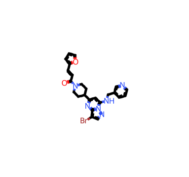 O=C(/C=C/c1ccco1)N1CCC(c2cc(NCc3cccnc3)n3ncc(Br)c3n2)CC1